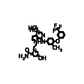 Cc1cc(Nc2ncnc3ccn(CCN4C[C@H](O)C[C@H]4C(N)=O)c23)ccc1Oc1cccc(C(F)(F)F)c1.Cl.Cl